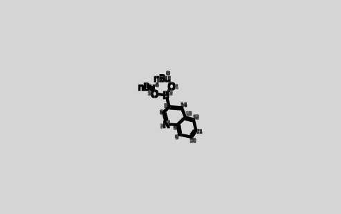 CCCCOB(OCCCC)c1cnc2ccccc2c1